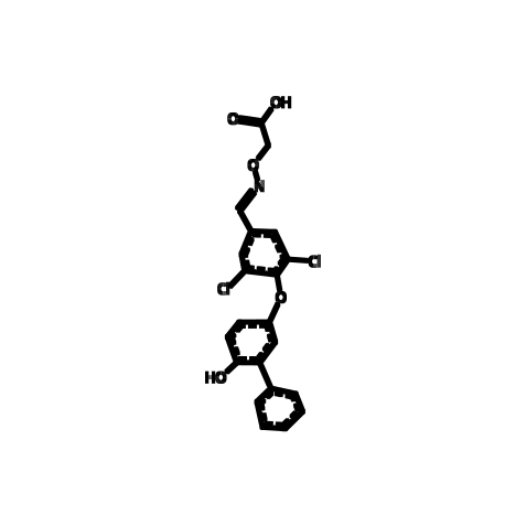 O=C(O)CON=Cc1cc(Cl)c(Oc2ccc(O)c(-c3ccccc3)c2)c(Cl)c1